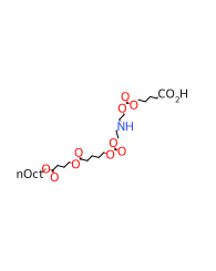 CCCCCCCCOC(=O)CCCOC(=O)CCCCOC(=O)OCCNCCOC(=O)OCCCCC(=O)O